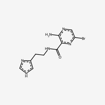 Nc1ncc(Br)nc1C(=O)NCCc1c[nH]cn1